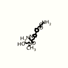 CCCN(CCCO)C(=O)C1=Cc2ccc(-c3ccc(CC(=O)OCN)cc3)cc2N=C(N)C1